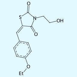 CCOc1ccc(/C=C2/SC(=O)N(CCO)C2=O)cc1